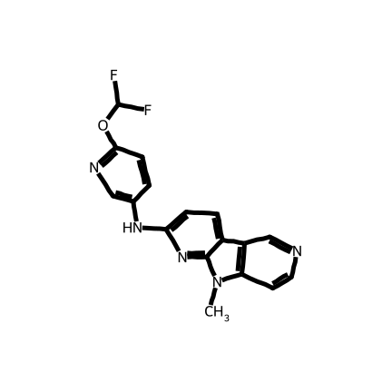 Cn1c2ccncc2c2ccc(Nc3ccc(OC(F)F)nc3)nc21